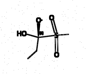 CC[C@]([O])(O)S(C)(=O)=O